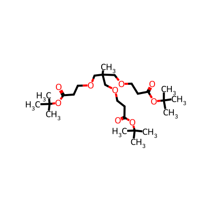 CC(COCCC(=O)OC(C)(C)C)(COCCC(=O)OC(C)(C)C)COCCC(=O)OC(C)(C)C